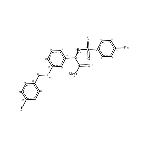 COC(=O)[C@H](NS(=O)(=O)c1ccc(F)cc1)c1cccc(OCc2ccc(F)cc2)c1